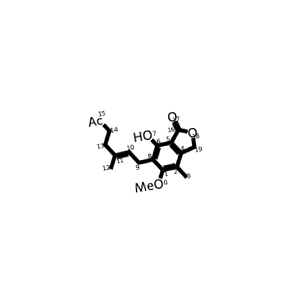 COc1c(C)c2c(c(O)c1C/C=C(\C)CCC(C)=O)C(=O)OC2